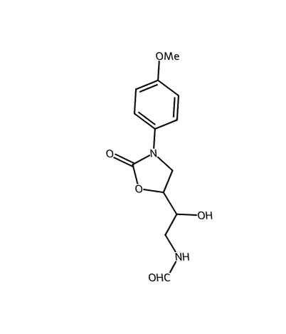 COc1ccc(N2CC(C(O)CNC=O)OC2=O)cc1